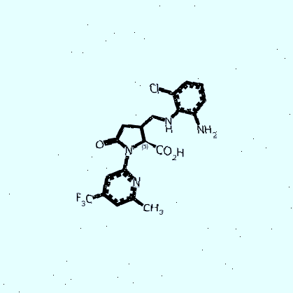 Cc1cc(C(F)(F)F)cc(N2C(=O)CC(CNc3c(N)cccc3Cl)[C@H]2C(=O)O)n1